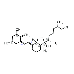 C=C1/C(=C\C=C2/CCC[C@@]3(C)[C@H]2CC[C@]3(O)[C@@H](C)CCCC(C)CO)C[C@H](O)C[C@H]1O